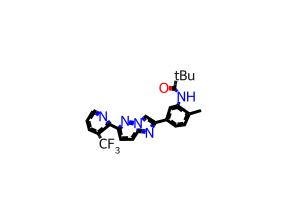 Cc1ccc(-c2cn3nc(-c4ncccc4C(F)(F)F)ccc3n2)cc1NC(=O)C(C)(C)C